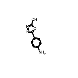 Nc1ccc(-c2nnc(O)o2)cc1